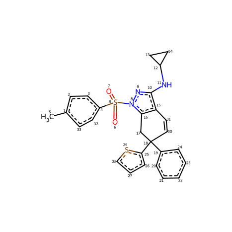 Cc1ccc(S(=O)(=O)n2nc(NC3CC3)c3c2CC(c2ccccc2)(c2cccs2)C=C3)cc1